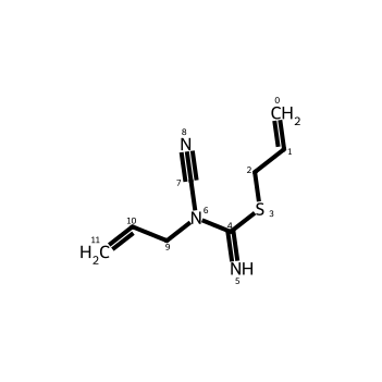 C=CCSC(=N)N(C#N)CC=C